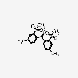 Cc1ccc(C(=O)c2ccc(C)cc2S(C)(=O)=O)c(S(C)(=O)=O)c1